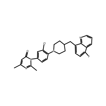 Cc1cc(=O)n(-c2ccc(N3CCC(Cc4ccc(F)c5cccnc45)CC3)c(Cl)c2)c(C)n1